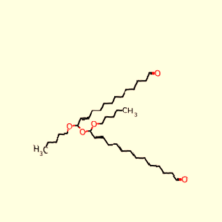 CCCCCOC(C=CCCCCCCCCCCC=O)OC(C=CCCCCCCCCCCC=O)OCCCCC